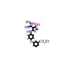 CCOC(=O)c1cccc(Oc2ccc(Nc3snc(O)c3C(=N)NC(C)C)cc2)c1